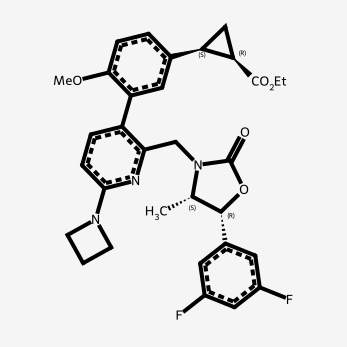 CCOC(=O)[C@@H]1C[C@@H]1c1ccc(OC)c(-c2ccc(N3CCC3)nc2CN2C(=O)O[C@H](c3cc(F)cc(F)c3)[C@@H]2C)c1